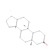 CC[C@H]1CC[C@H]2[C@@H]3CC[C@H]4CC(=O)CC[C@@H]4[C@H]3CC[C@]12C